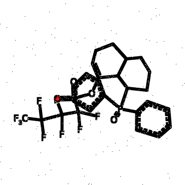 O=P(c1ccccc1)(c1ccccc1)C1CCCC2CCC=C(OS(=O)(=O)C(F)(F)C(F)(F)C(F)(F)C(F)(F)F)C21